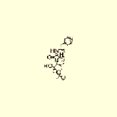 CC(=O)OCC1=C(C(=O)O)N2C(=O)[C@@H](NC(=S)Cc3ccncc3)[C@H]2SC1